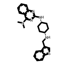 CN(C)c1nc(N[C@H]2CC[C@@H](NCc3csc4ccccc34)CC2)nc2ccccc12